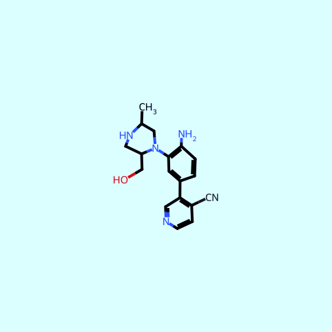 CC1CN(c2cc(-c3cnccc3C#N)ccc2N)C(CO)CN1